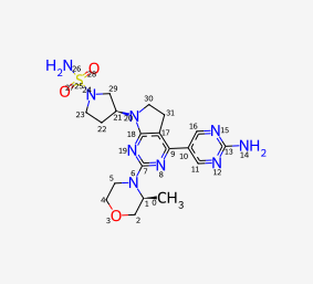 C[C@H]1COCCN1c1nc(-c2cnc(N)nc2)c2c(n1)N([C@H]1CCN(S(N)(=O)=O)C1)CC2